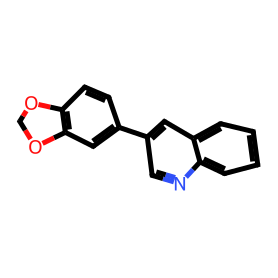 c1ccc2ncc(-c3ccc4c(c3)OCO4)cc2c1